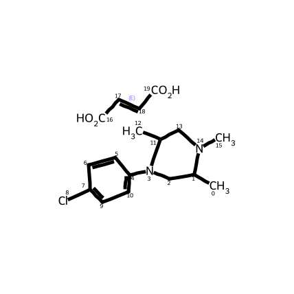 CC1CN(c2ccc(Cl)cc2)C(C)CN1C.O=C(O)/C=C/C(=O)O